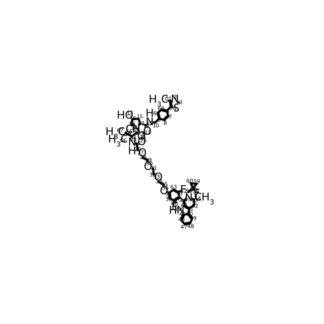 Cc1ncsc1-c1ccc(CNC(=O)[C@@H]2C[C@@H](O)CN2C(=O)C(NC(=O)COCCOCCOCCOc2cc(F)c([C@@H]3c4[nH]c5ccccc5c4C[C@@H](C)N3CC3(F)CC3)c(F)c2)C(C)(C)C)cc1